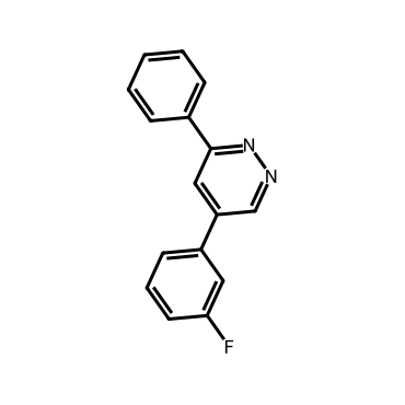 Fc1cccc(-c2cnnc(-c3ccccc3)c2)c1